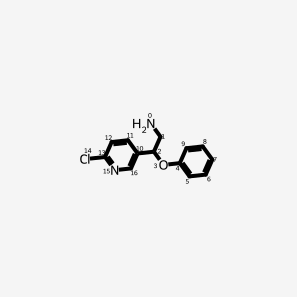 NCC(Oc1ccccc1)c1ccc(Cl)nc1